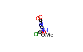 COC(=O)c1cc(Cl)ccc1Nc1ccc2c(ccn2Cc2ccc(S(C)(=O)=O)cc2)c1